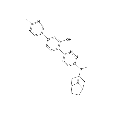 Cc1ncc(-c2ccc(-c3ccc(N(C)C4CC5CCC(C4)N5)nn3)c(O)c2)cn1